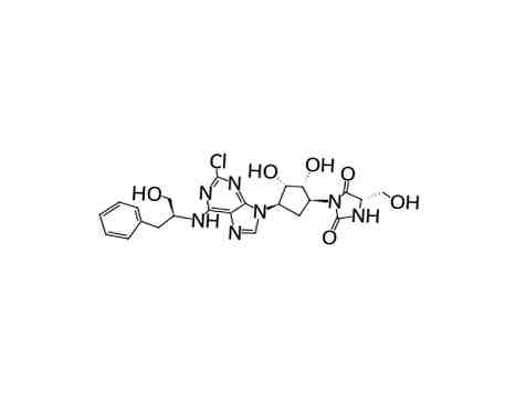 O=C1N[C@@H](CO)C(=O)N1[C@H]1C[C@@H](n2cnc3c(N[C@H](CO)Cc4ccccc4)nc(Cl)nc32)[C@H](O)[C@@H]1O